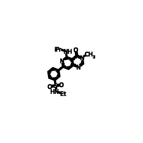 CCNS(=O)(=O)c1cccc(-c2cc3ncn(C)c(=O)c3c(NC(C)C)n2)c1